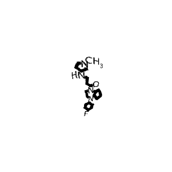 CN1CC[C@H](NCCC(=O)N2CCN(c3ccc(F)cc3)c3ccccc32)C1